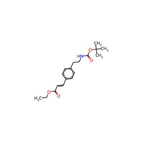 CCOC(=O)C=Cc1ccc(CCNC(=O)OC(C)(C)C)cc1